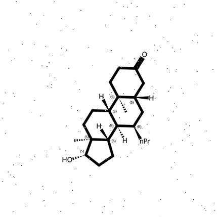 CCC[C@@H]1C[C@H]2CC(=O)CC[C@]2(C)[C@H]2CC[C@]3(C)[C@@H](O)CC[C@H]3[C@H]12